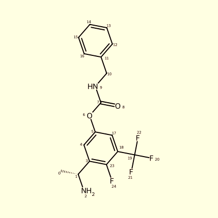 C[C@@H](N)c1cc(OC(=O)NCc2ccccc2)cc(C(F)(F)F)c1F